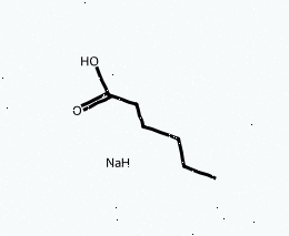 CCCCCC(=O)O.[NaH]